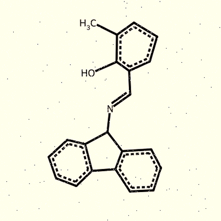 Cc1cccc(C=NC2c3ccccc3-c3ccccc32)c1O